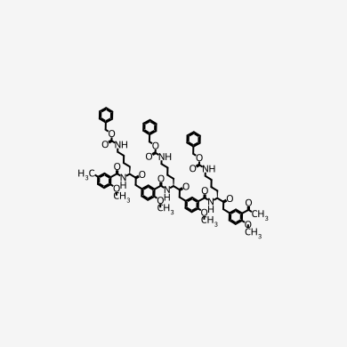 COc1ccc(CC(=O)[C@H](CCCCNC(=O)OCc2ccccc2)NC(=O)c2cc(CC(=O)[C@H](CCCCNC(=O)OCc3ccccc3)NC(=O)c3cc(CC(=O)[C@H](CCCCNC(=O)OCc4ccccc4)NC(=O)c4cc(C)ccc4OC)ccc3OC)ccc2OC)cc1C(C)=O